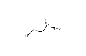 C[C@H](C=O)CCCl